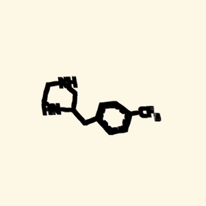 FC(F)(F)c1ccc(CC2CNCCN2)cc1